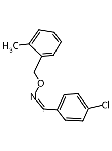 Cc1ccccc1CO/N=[C]\c1ccc(Cl)cc1